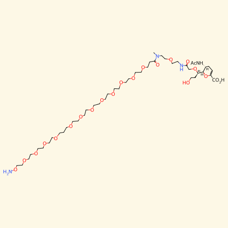 CC(=O)N[C@@H]1CC=C(C(=O)O)O[C@H]1[C@@H](CCO)OCC(=O)NCCOCCN(C)C(=O)CCOCCOCCOCCOCCOCCOCCOCCOCCCOCCOCCOCCOCCON